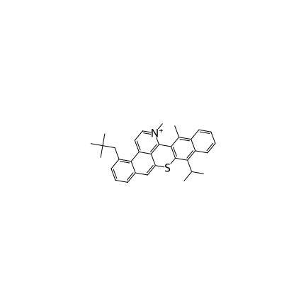 Cc1c2c(c(C(C)C)c3ccccc13)Sc1cc3cccc(CC(C)(C)C)c3c3cc[n+](C)c-2c13